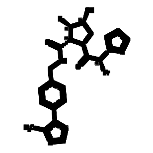 Cc1ncsc1-c1ccc(CNC(=O)[C@@H]2[C@@H](F)[C@@H](O)CN2C(=O)[C@H](C(C)C)n2cccn2)cc1